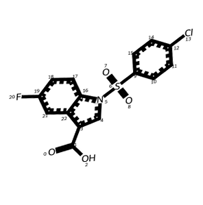 O=C(O)c1cn(S(=O)(=O)c2ccc(Cl)cc2)c2ccc(F)cc12